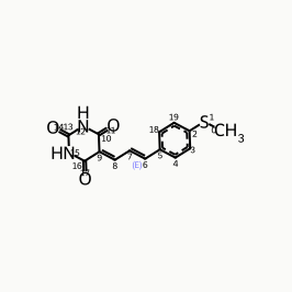 CSc1ccc(/C=C/C=C2C(=O)NC(=O)NC2=O)cc1